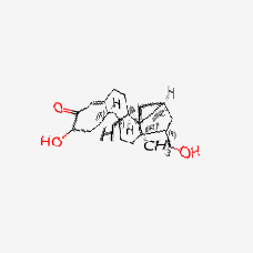 C[C@]12CC[C@H]3[C@@H](CCC4=CC(=O)C(O)C[C@@H]43)[C@@]13C[C@H]3C[C@H]2CO